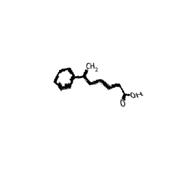 C=C(CCC=CC(=O)O)c1ccccc1